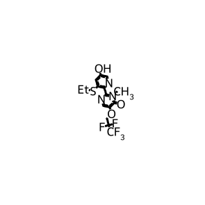 CCSc1cc(O)cnc1-c1ncc(OCC(F)(F)C(F)(F)F)c(=O)n1C